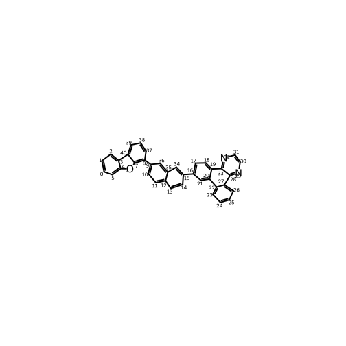 c1ccc2c(c1)oc1c(-c3ccc4ccc(-c5ccc6c(c5)c5ccccc5c5nccnc65)cc4c3)cccc12